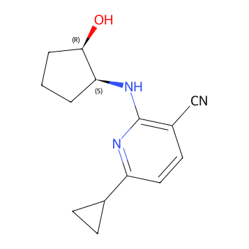 N#Cc1ccc(C2CC2)nc1N[C@H]1CCC[C@H]1O